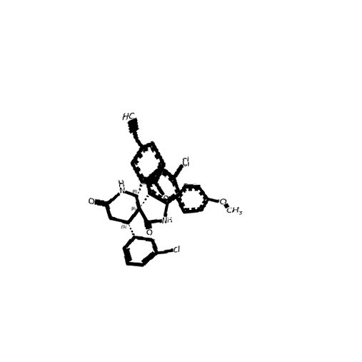 C#Cc1ccc(Oc2ccc(OC)cc2)c([C@H]2NC(=O)C[C@@H](C3C=CC=C(Cl)C3)[C@]23C(=O)Nc2cc(Cl)ccc23)c1